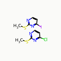 CSc1nccc(Cl)n1.CSc1nccc(I)n1